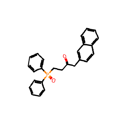 O=C(CCP(=O)(c1ccccc1)c1ccccc1)Cc1ccc2ccccc2c1